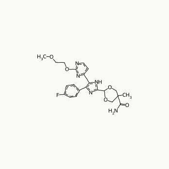 COCCOc1nccc(-c2[nH]c(C3OCC(C)(C(N)=O)CO3)nc2-c2ccc(F)cc2)n1